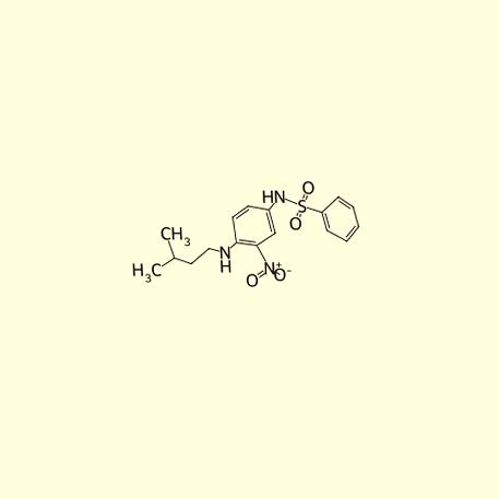 CC(C)CCNc1ccc(NS(=O)(=O)c2ccccc2)cc1[N+](=O)[O-]